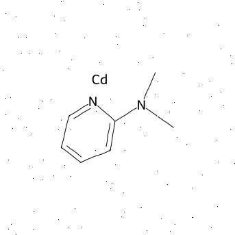 CN(C)c1ccccn1.[Cd]